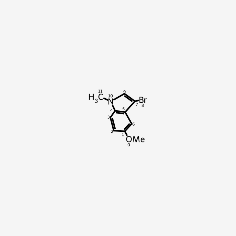 COc1ccc2c(c1)c(Br)cn2C